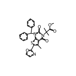 COC(=O)C(C)(C)n1c(=O)c2c(C)c(-c3ncco3)sc2n(C(c2ccccc2)c2ccccc2)c1=O